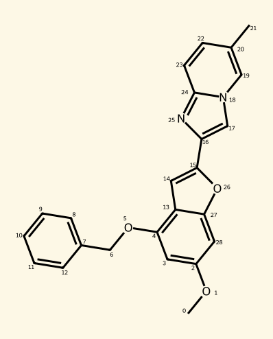 COc1cc(OCc2ccccc2)c2cc(-c3cn4cc(C)ccc4n3)oc2c1